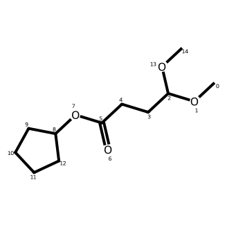 COC(CCC(=O)OC1CCCC1)OC